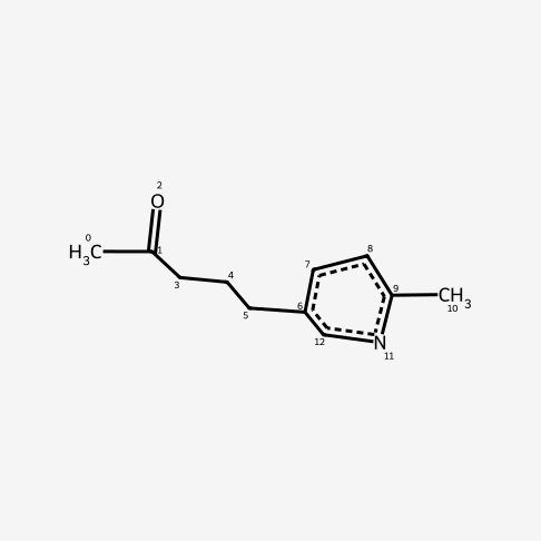 CC(=O)CCCc1ccc(C)nc1